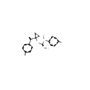 N#Cc1ccc(C(=O)C2(S/C(=N/N)N(N)c3ccc(C(=O)O)cc3)CC2)cc1